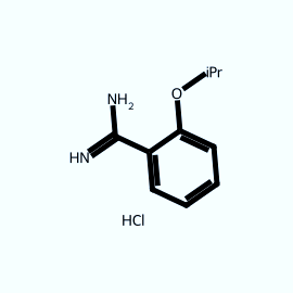 CC(C)Oc1ccccc1C(=N)N.Cl